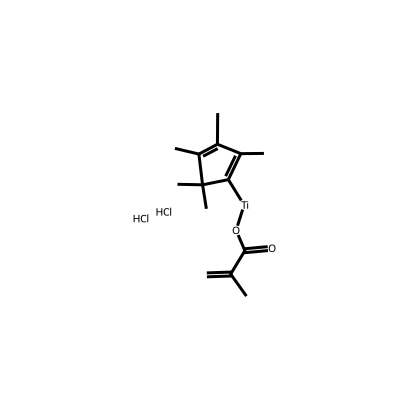 C=C(C)C(=O)[O][Ti][C]1=C(C)C(C)=C(C)C1(C)C.Cl.Cl